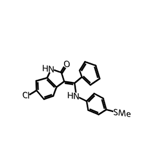 CSc1ccc(NC(=C2C(=O)Nc3cc(Cl)ccc32)c2ccccc2)cc1